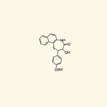 COc1ccc(C2Sc3c(ccc4ccccc34)NC(=O)C2O)cc1